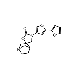 O=C1OC2(CN3CCC2CC3)CN1c1csc(-c2ccco2)c1